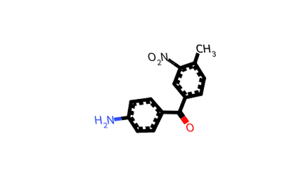 Cc1ccc(C(=O)c2ccc(N)cc2)cc1[N+](=O)[O-]